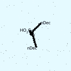 CCCCCCCCCCCCCCCCCCCCCCOc1ccc(CCC(=O)O)c(OCCCCCCCCCCCCCCCCCCCCCC)c1